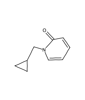 O=c1ccccn1CC1CC1